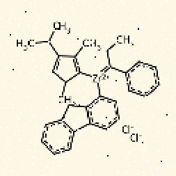 CC/[C](c1ccccc1)=[Zr+2](\[C]1=C(C)C(C(C)C)=CC1C)[c]1cccc2c1Cc1ccccc1-2.[Cl-].[Cl-]